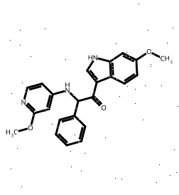 COc1ccc2c(C(=O)C(Nc3ccnc(OC)c3)c3ccccc3)c[nH]c2c1